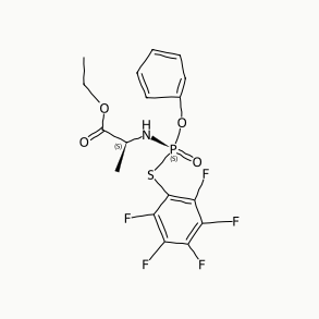 CCOC(=O)[C@H](C)N[P@](=O)(Oc1ccccc1)Sc1c(F)c(F)c(F)c(F)c1F